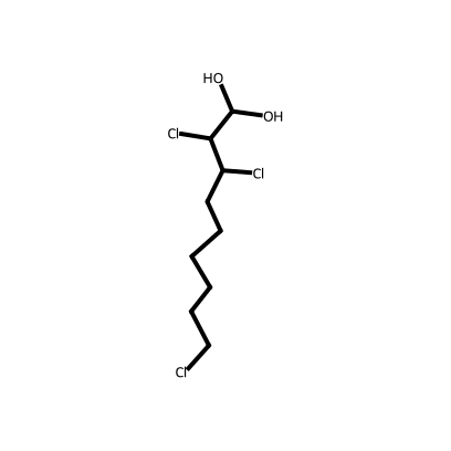 OC(O)C(Cl)C(Cl)CCCCCCCl